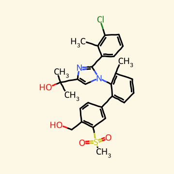 Cc1cccc(-c2ccc(CO)c(S(C)(=O)=O)c2)c1-n1cc(C(C)(C)O)nc1-c1cccc(Cl)c1C